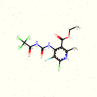 CCOC(=O)c1c(C)nc(Cl)c(F)c1NC(=O)NC(=O)C(Cl)(Cl)Cl